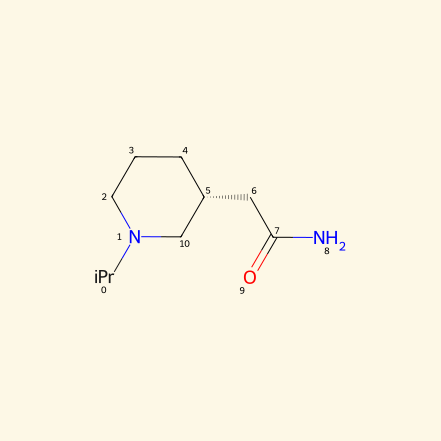 CC(C)N1CCC[C@H](CC(N)=O)C1